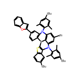 Cc1cc(C(C)(C)C)cc(C)c1N1c2cc(-c3cc4ccccc4o3)ccc2B2c3sc4ccc(C(C)(C)C)cc4c3N(c3c(C)cc(C(C)(C)C)cc3C)c3cc(C(C)C)cc1c32